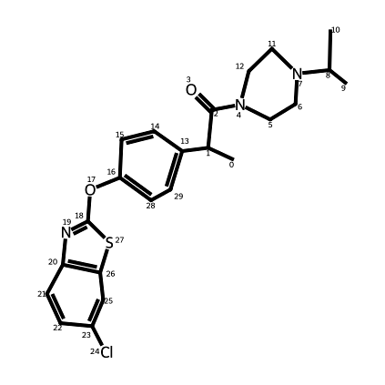 CC(C(=O)N1CCN(C(C)C)CC1)c1ccc(Oc2nc3ccc(Cl)cc3s2)cc1